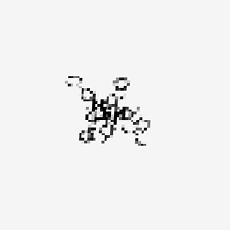 C/C=C\C=C/C=Cc1cc(C)ccc1Nc1cc2c(cc1-c1c3c(cc4c1Cc1ccccc1-4)N(c1ccc(C4=CCCC=C4)cc1)C1C(C)=CC(c4ccccc4)=CC1B3)C(C)(C)c1ccccc1-2